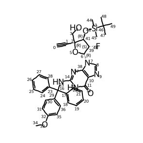 C#C[C@]1(CO)O[C@@H](n2cnc3c(=O)[nH]c(NC(c4ccccc4)(c4ccccc4)c4ccc(OC)cc4)nc32)[C@@H](F)[C@@H]1O[Si](C)(C)C(C)(C)C